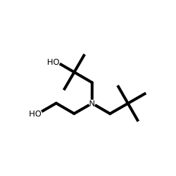 CC(C)(C)CN(CCO)CC(C)(C)O